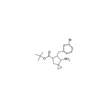 CC(C)(C)OC(=O)C1CC2(CC2)C(N)C1Cc1cccc(Br)c1